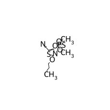 CCCCOc1nc(OP(=S)(OC)OC)c(C#N)s1